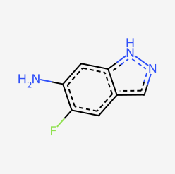 Nc1cc2[nH]ncc2cc1F